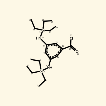 CC[Si](CC)(CC)Nc1cc(N[Si](CC)(CC)CC)cc(C(=O)Cl)c1